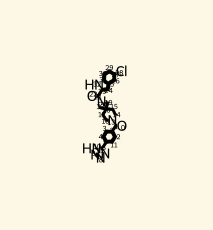 O=C(c1ccc(-c2nnn[nH]2)cc1)N1CCC2(CC1)CN(C(=O)c1cc3cc(Cl)ccc3[nH]1)C2